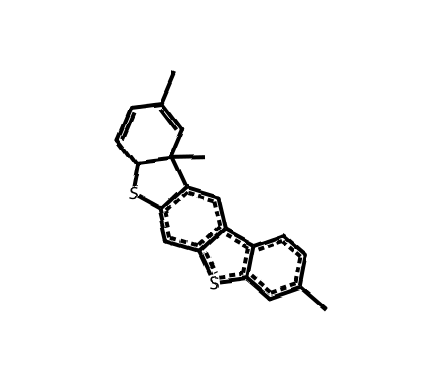 CC1=CC2(C)c3cc4c(cc3SC2C=C1)sc1cc(C)ccc14